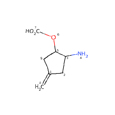 C=C1CC(N)C(OC(=O)O)C1